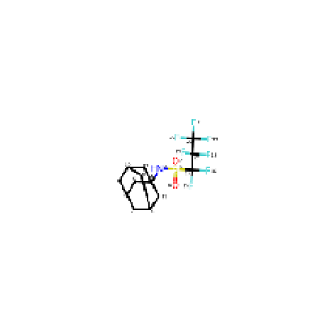 O=S(=O)(NC12CC3CC(CC(C3)C1)C2)C(F)(F)C(F)(F)C(F)(F)F